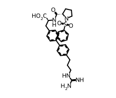 N=C(N)NCCCc1ccc(-c2ccc(C[C@H](NC(=O)[C@@H]3CCCN3S(=O)(=O)c3ccccc3)C(=O)O)cc2)cc1